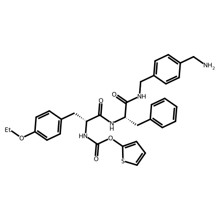 CCOc1ccc(C[C@@H](NC(=O)Oc2cccs2)C(=O)N[C@@H](Cc2ccccc2)C(=O)NCc2ccc(CN)cc2)cc1